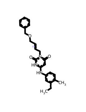 CCc1cc(Nc2cc(=O)n(C/C=C/COCc3ccccc3)c(=O)[nH]2)ccc1C